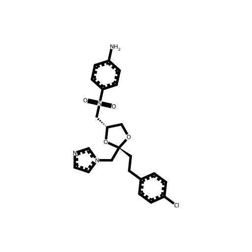 Nc1ccc(S(=O)(=O)C[C@@H]2CO[C@](CCc3ccc(Cl)cc3)(Cn3ccnc3)O2)cc1